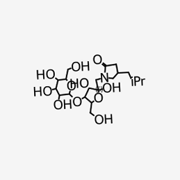 CC(C)CC1CC(=O)N(C[C@]2(O)OC(CO)C(OC3OC(CO)C(O)C(O)C3O)C2O)C1